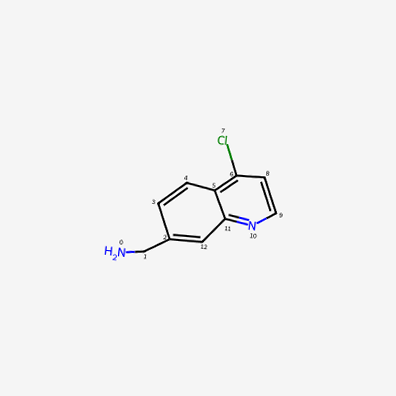 NCc1ccc2c(Cl)ccnc2c1